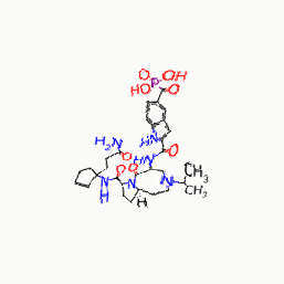 CC(C)N1CC[C@H]2CC[C@@H](C(=O)NC3(CCC(N)=O)CCCC3)N2C(=O)[C@@H](NC(=O)c2cc3cc(C(=O)P(=O)(O)O)ccc3[nH]2)C1